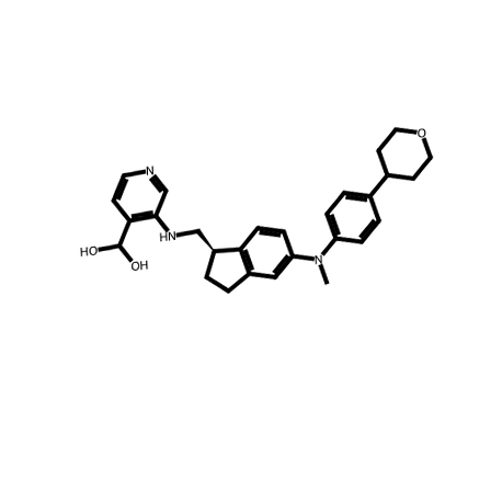 CN(c1ccc(C2CCOCC2)cc1)c1ccc2c(c1)CC[C@H]2CNc1cnccc1C(O)O